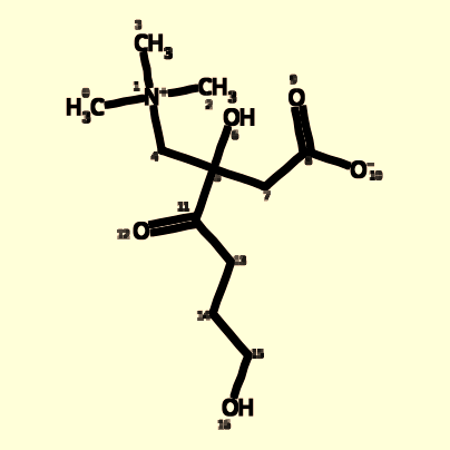 C[N+](C)(C)CC(O)(CC(=O)[O-])C(=O)CCCO